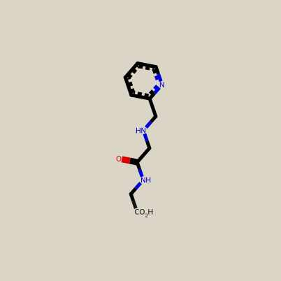 O=C(O)CNC(=O)CNCc1ccccn1